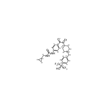 CCN(C(=O)c1ccc(NC(=O)NCC2CC2)cc1)C1CCN(Cc2ccc(C(O)(C(F)(F)F)C(F)(F)F)cc2)CC1